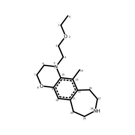 CCOCCN1CCOc2cc3c(c(C)c21)CCNCC3